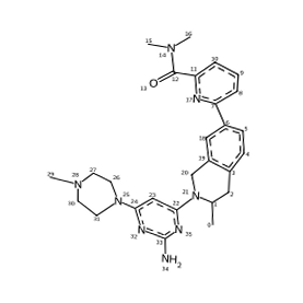 CC1Cc2ccc(-c3cccc(C(=O)N(C)C)n3)cc2CN1c1cc(N2CCN(C)CC2)nc(N)n1